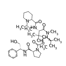 C/C(=C\[C@H](C(C)C)N(C)C(=O)[C@@H](NC(=O)C1CCCCN1C(C)C)C(C)(C)C)C(=O)N1CCC[C@H]1C(=O)N[C@@H](CO)c1ccccc1